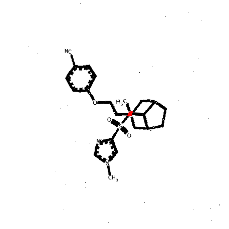 CN(C1C2CCC1CN(CCOc1ccc(C#N)cc1)C2)S(=O)(=O)c1cn(C)cn1